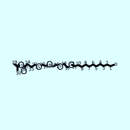 CCCCCCCCCCCCOCCOCCOCCOCCCC(=O)OC(C)C